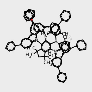 Cc1cccc(C)c1B(c1c(C)cccc1C)c1c(-n2c3ccc(-c4ccccc4)cc3c3cc(-c4ccccc4)ccc32)c(-n2c3ccc(-c4ccccc4)cc3c3cc(-c4ccccc4)ccc32)c2c(c1-n1c3ccc(-c4ccccc4)cc3c3cc(-c4ccccc4)ccc31)C(C)(C)CC2(C)C